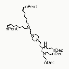 CCCCC/C=C\CCCCCN(CCCCC/C=C\CCCCC)CCN1CCN(CCC(CN(CCCCCCCCCCCC)CCCCCCCCCCCC)NCCCCCCCCCCCC)CC1